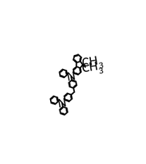 CC1(C)c2ccccc2-c2cc(N(c3ccccc3)c3ccc(Cc4ccc(N(c5ccccc5)c5ccccc5)cc4)cc3)ccc21